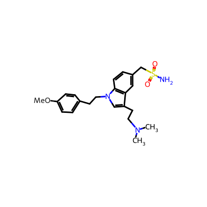 COc1ccc(CCn2cc(CCN(C)C)c3cc(CS(N)(=O)=O)ccc32)cc1